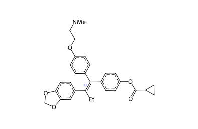 CC/C(=C(/c1ccc(OCCNC)cc1)c1ccc(OC(=O)C2CC2)cc1)c1ccc2c(c1)OCO2